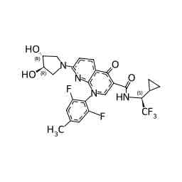 Cc1cc(F)c(-n2cc(C(=O)N[C@@H](C3CC3)C(F)(F)F)c(=O)c3ccc(N4C[C@@H](O)[C@H](O)C4)nc32)c(F)c1